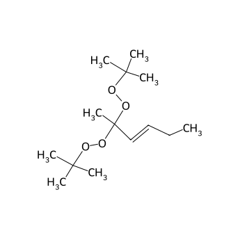 CCC=CC(C)(OOC(C)(C)C)OOC(C)(C)C